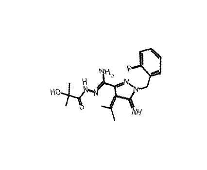 CC(C)=C1C(=N)N(Cc2ccccc2F)N=C1/C(N)=N/NC(=O)C(C)(C)O